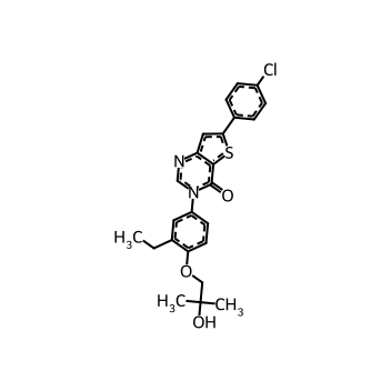 CCc1cc(-n2cnc3cc(-c4ccc(Cl)cc4)sc3c2=O)ccc1OCC(C)(C)O